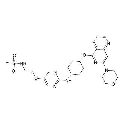 CS(=O)(=O)NCCOc1cnc(N[C@H]2CC[C@@H](Oc3nc(N4CCOCC4)cc4ncccc34)CC2)nc1